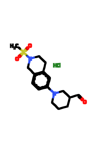 CS(=O)(=O)N1CCc2cc(N3CCCC(C=O)C3)ccc2C1.Cl